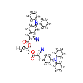 CC(COC(=O)/C(C#N)=C/c1ccc(N(c2ccccc2)c2ccccc2)cc1)OC(=O)/C(C#N)=C/c1ccc(N(c2ccccc2)c2ccccc2)cc1